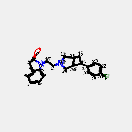 O=C1Cc2ccccc2N1CCN1CC2CC(c3ccc(F)cc3)C2C1